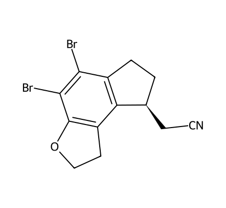 N#CC[C@@H]1CCc2c(Br)c(Br)c3c(c21)CCO3